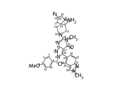 COc1ccc(Cn2nc3nc(N4CCC5(CC4)C[C@@H](F)C[C@H]5N)n(C)c(=O)c3c2-c2ccc3nn(C)cc3c2Cl)cc1